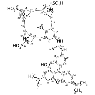 CN(C)c1ccc2c(-c3ccc(NC(=S)NC4=CC5CC6C=C(S(=O)(=O)O)C=C(CC7C=C(S(=O)(=O)O)C=C(CC8=CC(S(=O)(=O)O)=CC(CC(=C4)C5O)C8O)C7O)C6O)cc3C(=O)O)c3ccc(=[N+](C)C)cc-3oc2c1